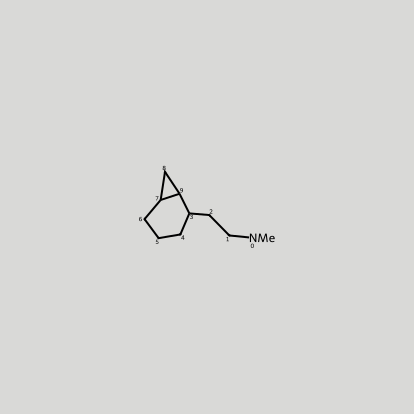 CNCCC1CCCC2CC12